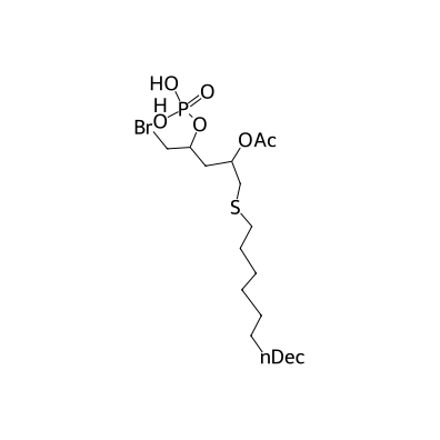 CCCCCCCCCCCCCCCCSCC(CC(CBr)OP(=O)(O)O)OC(C)=O